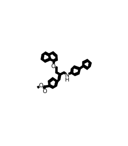 COC(=O)c1ccc(/C=C(\CCOc2cccc3ccccc23)CNc2ccc(-c3ccccc3)cc2)cc1